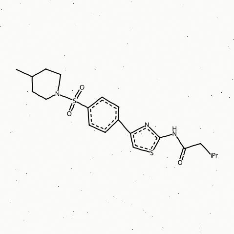 CC(C)CC(=O)Nc1nc(-c2ccc(S(=O)(=O)N3CCC(C)CC3)cc2)cs1